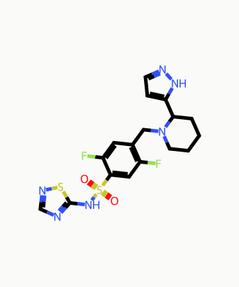 O=S(=O)(Nc1ncns1)c1cc(F)c(CN2CCCCC2c2ccn[nH]2)cc1F